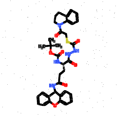 CC(C)(C)OC(=O)N[C@@H](CCC(=O)NC1c2ccccc2Oc2ccccc21)C(=O)NNC(=O)SCC(=O)N1CCCc2ccccc21